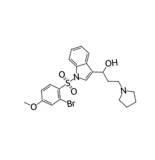 COc1ccc(S(=O)(=O)n2cc(C(O)CCN3CCCC3)c3ccccc32)c(Br)c1